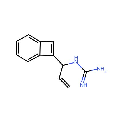 C=CC(NC(=N)N)C1=Cc2ccccc21